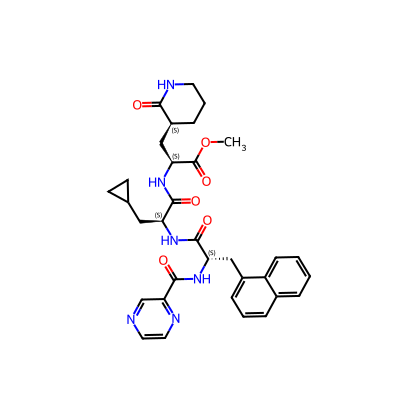 COC(=O)[C@H](C[C@@H]1CCCNC1=O)NC(=O)[C@H](CC1CC1)NC(=O)[C@H](Cc1cccc2ccccc12)NC(=O)c1cnccn1